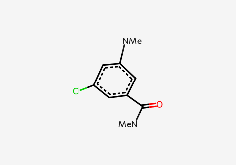 CNC(=O)c1cc(Cl)cc(NC)c1